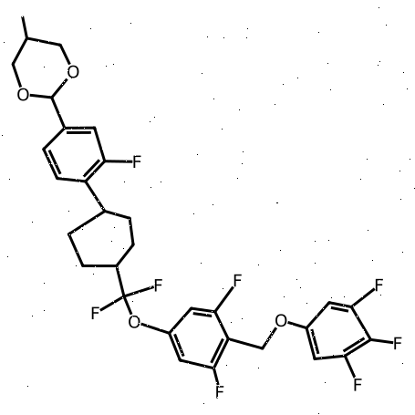 CC1COC(c2ccc(C3CCC(C(F)(F)Oc4cc(F)c(COc5cc(F)c(F)c(F)c5)c(F)c4)CC3)c(F)c2)OC1